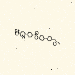 C=CC(=O)Cc1ccc(-c2ccc(OC(=O)c3ccc(-c4ccc(OCC)cn4)cc3)cc2)cc1